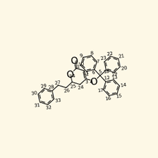 O=C1C=C(OC(c2ccccc2)(c2ccccc2)c2ccccc2)CC(CCc2ccccc2)O1